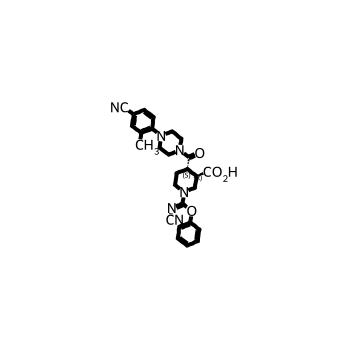 Cc1cc(C#N)ccc1N1CCN(C(=O)[C@H]2CCN(C(=NC#N)Oc3ccccc3)C[C@@H]2C(=O)O)CC1